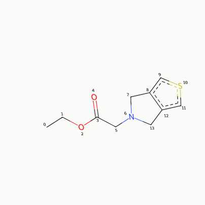 CCOC(=O)CN1Cc2cscc2C1